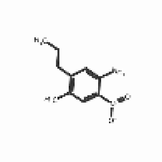 CCCc1cc(N)c([N+](=O)[O-])cc1C